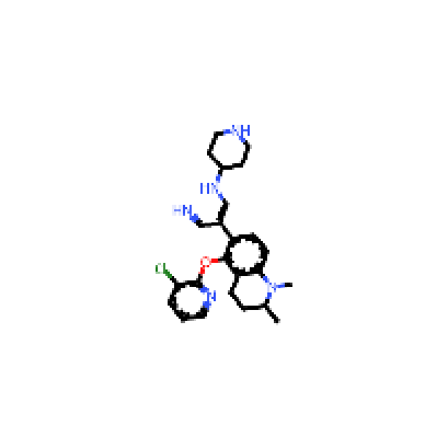 CC1CCc2c(ccc(/C(C=N)=C/NC3CCNCC3)c2Oc2ncccc2Cl)N1C